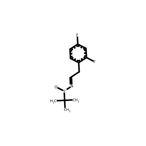 CC(C)(C)[S+]([O-])/N=C/Cc1ccc(F)cc1F